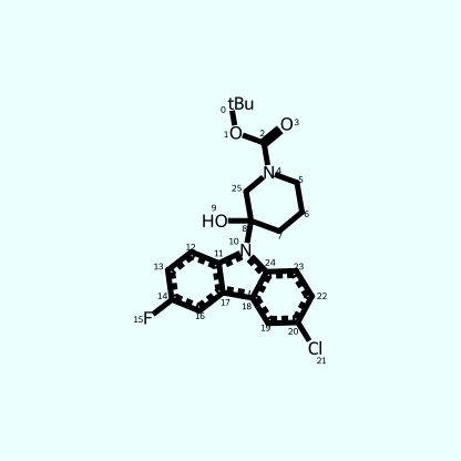 CC(C)(C)OC(=O)N1CCCC(O)(n2c3ccc(F)cc3c3cc(Cl)ccc32)C1